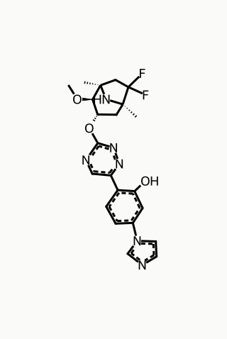 CO[C@@H]1[C@@H](Oc2ncc(-c3ccc(-n4ccnc4)cc3O)nn2)C[C@@]2(C)N[C@]1(C)CC2(F)F